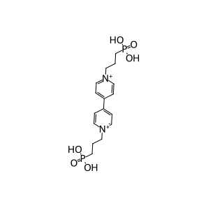 O=P(O)(O)CCC[n+]1ccc(-c2cc[n+](CCCP(=O)(O)O)cc2)cc1